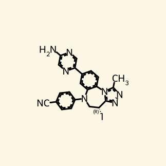 Cc1nnc2n1-c1ccc(-c3cnc(N)cn3)cc1N(c1ccc(C#N)cc1)C[C@H]2I